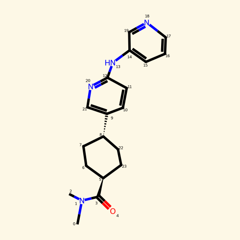 CN(C)C(=O)[C@H]1CC[C@H](c2ccc(Nc3cccnc3)nc2)CC1